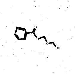 O=C(OCOCO)c1ccccc1